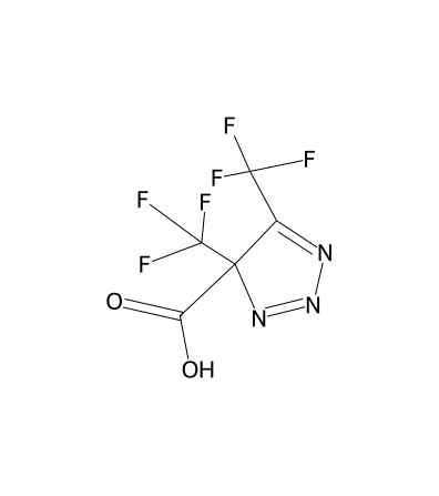 O=C(O)C1(C(F)(F)F)N=NN=C1C(F)(F)F